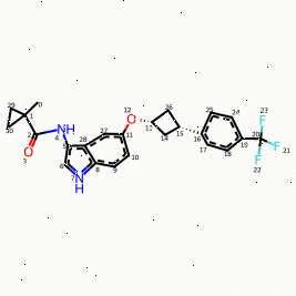 CC1(C(=O)Nc2c[nH]c3ccc(O[C@H]4C[C@@H](c5ccc(C(F)(F)F)cc5)C4)cc23)CC1